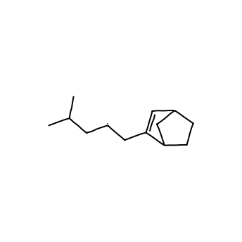 CC(C)C[CH]CC1=CC2CCC1C2